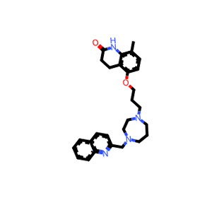 Cc1ccc(OCCCN2CCCN(Cc3ccc4ccccc4n3)CC2)c2c1NC(=O)CC2